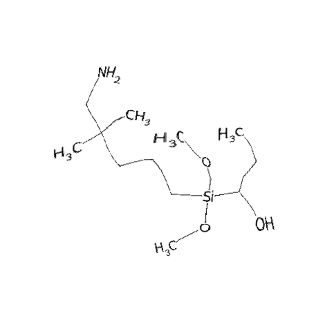 CCC(O)[Si](CCCC(C)(C)CN)(OC)OC